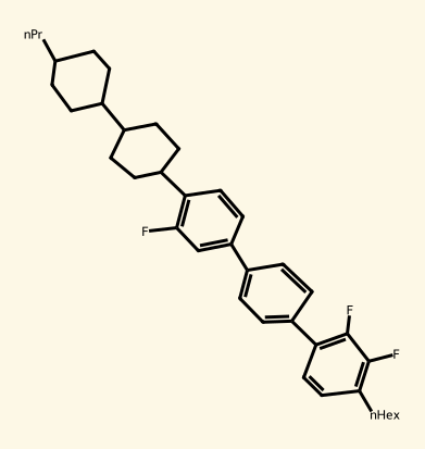 CCCCCCc1ccc(-c2ccc(-c3ccc(C4CCC(C5CCC(CCC)CC5)CC4)c(F)c3)cc2)c(F)c1F